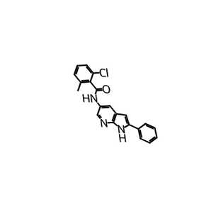 Cc1cccc(Cl)c1C(=O)Nc1cnc2[nH]c(-c3ccccc3)cc2c1